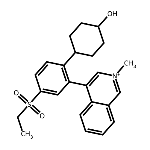 CCS(=O)(=O)c1ccc(C2CCC(O)CC2)c(-c2c[n+](C)cc3ccccc23)c1